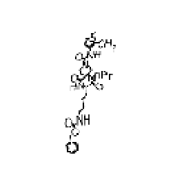 CCCN1C(=O)[C@H](CCCCNC(=O)OCc2ccccc2)NC(=O)C12CCN(C(=O)Nc1ccsc1C)CC2